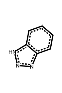 [c]1c[c]c2nn[nH]c2c1